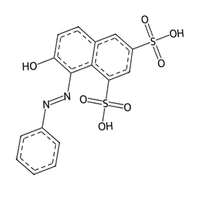 O=S(=O)(O)c1cc(S(=O)(=O)O)c2c(/N=N/c3ccccc3)c(O)ccc2c1